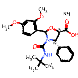 COc1ccc(C2O[C@@H](C(=O)O)[C@H](c3ccccc3)N2C(=O)NC(C)(C)C)c(OC)c1.[KH]